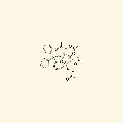 CC(=O)OC[C@H]1O[C@@H](SC(c2ccccc2)(c2ccccc2)c2ccccc2)[C@H](OC(C)=O)[C@@H](OC(C)=O)[C@@H]1OC(C)=O